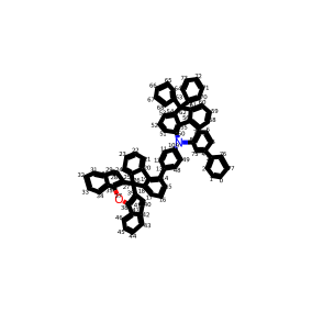 c1ccc(-c2cccc(N(c3ccc(-c4cccc5c4-c4ccccc4C54c5ccc6ccccc6c5Oc5c4ccc4ccccc54)cc3)c3cccc4c3-c3ccccc3C4(c3ccccc3)c3ccccc3)c2)cc1